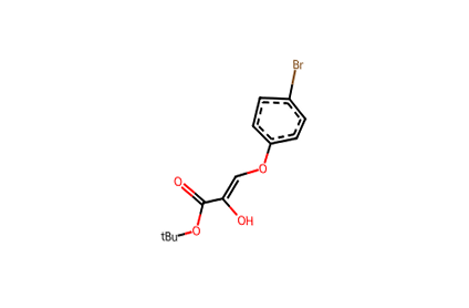 CC(C)(C)OC(=O)/C(O)=C/Oc1ccc(Br)cc1